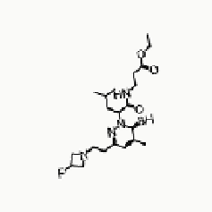 B=C1C(C)=CC(CCN2CC(F)C2)=NN1C(CC(C)C)C(=O)NCCC(=O)OCC